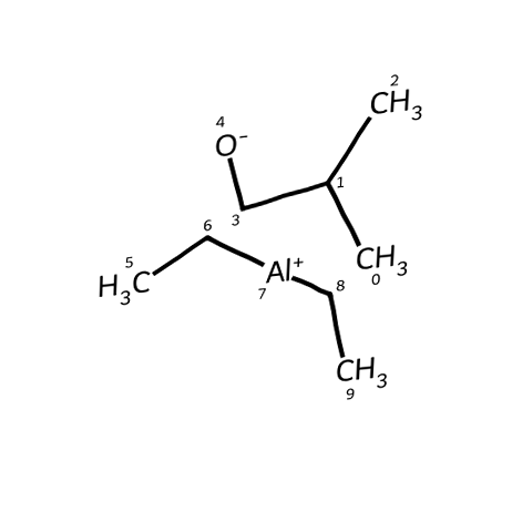 CC(C)C[O-].C[CH2][Al+][CH2]C